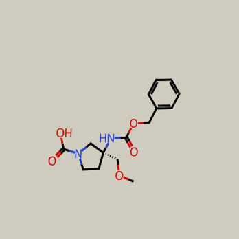 COC[C@]1(NC(=O)OCc2ccccc2)CCN(C(=O)O)C1